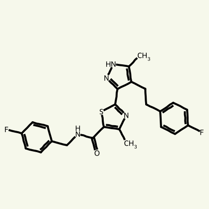 Cc1nc(-c2n[nH]c(C)c2CCc2ccc(F)cc2)sc1C(=O)NCc1ccc(F)cc1